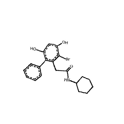 O=C(Cc1c(Br)c(O)cc(O)c1-c1ccccc1)NC1CCCCC1